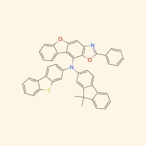 CC1(C)c2ccccc2-c2ccc(N(c3ccc4c(c3)sc3ccccc34)c3c4oc(-c5ccccc5)nc4cc4oc5ccccc5c34)cc21